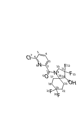 O=C(c1cccc(Cl)n1)N1CC(F)(F)C(O)C12CCC(F)(F)CC2